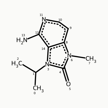 CC(C)n1c(=O)n(C)c2ccnc(N)c21